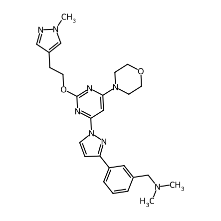 CN(C)Cc1cccc(-c2ccn(-c3cc(N4CCOCC4)nc(OCCc4cnn(C)c4)n3)n2)c1